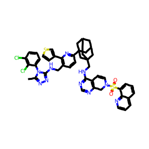 Cc1nnc(NCc2ccc(C34CC5CC(CC(CNc6ncnc7c6C=CN(S(=O)(=O)c6cccc8cccnc68)C7)(C5)C3)C4)nc2-c2ccsc2)n1-c1cccc(Cl)c1Cl